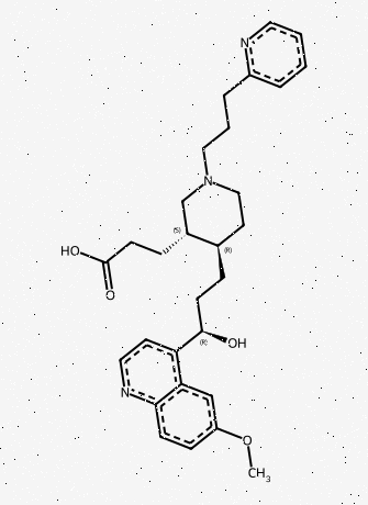 COc1ccc2nccc([C@H](O)CC[C@@H]3CCN(CCCc4ccccn4)C[C@H]3CCC(=O)O)c2c1